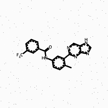 Cc1ccc(NC(=O)c2cccc(C(F)(F)F)c2)cc1-c1ncc2[nH]cnc2n1